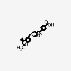 C=C1CC2(CC2)c2cc(CN3CCC4(CC3)CC(c3ccc(C(=O)O)cc3)=NO4)ccc2O1